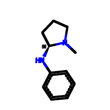 CN1CCC[C@H]1Nc1ccccc1